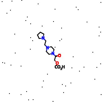 O=C(O)OCC(=O)N1CCN(CCN2CCCC2)CC1